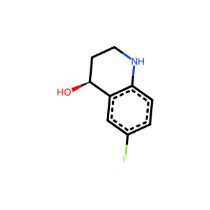 O[C@H]1CCNc2ccc(F)cc21